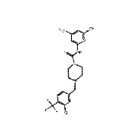 Cc1cc(C)nc(NC(=S)N2CCN(Cc3ccc(C(F)(F)F)c(Cl)c3)CC2)c1